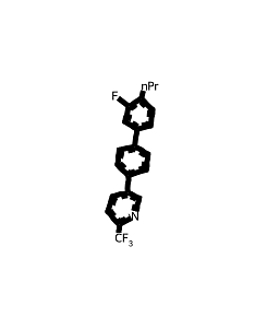 CCCc1ccc(-c2ccc(-c3ccc(C(F)(F)F)nc3)cc2)cc1F